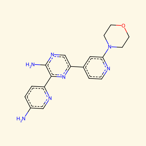 Nc1ccc(-c2nc(-c3ccnc(N4CCOCC4)c3)cnc2N)nc1